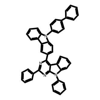 c1ccc(-c2ccc(-n3c4ccccc4c4cc(-c5nc(-c6ccccc6)nc6c5c5ccccc5n6-c5ccccc5)ccc43)cc2)cc1